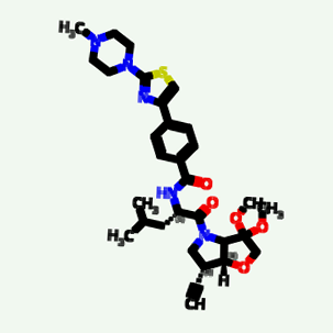 C#C[C@@H]1CN(C(=O)[C@H](CC(C)C)NC(=O)c2ccc(-c3csc(N4CCN(C)CC4)n3)cc2)C2[C@@H]1OCC2(OC)OC